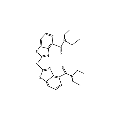 CCN(CC)C(=S)c1cccc2sc(Sc3nc4c(C(=S)N(CC)CC)cccc4s3)nc12